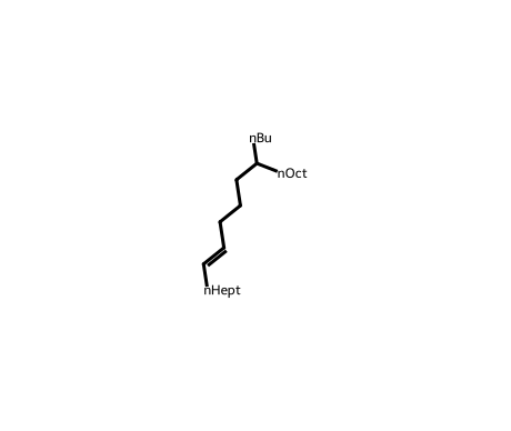 [CH2]CCCCCC/C=C/CCCC(CCCC)CCCCCCC[CH2]